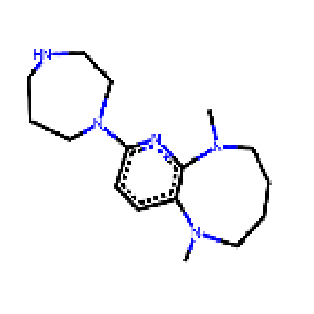 CN1CCCCN(C)c2nc(N3CCCNCC3)ccc21